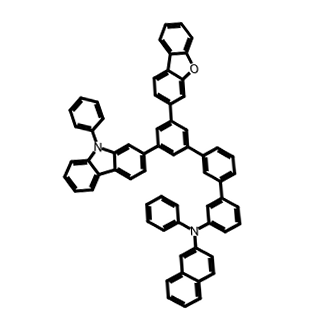 c1ccc(N(c2cccc(-c3cccc(-c4cc(-c5ccc6c(c5)oc5ccccc56)cc(-c5ccc6c7ccccc7n(-c7ccccc7)c6c5)c4)c3)c2)c2ccc3ccccc3c2)cc1